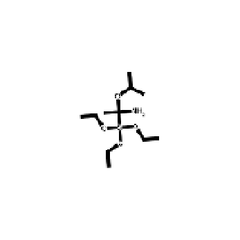 CCO[Si](OCC)(OCC)C(C)(N)OC(C)C